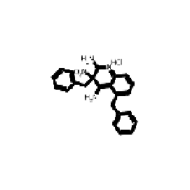 Cl.NC1=c2c(Cc3ccccc3)cccc2=NC(N)C1(Cc1ccccc1)[N+](=O)[O-]